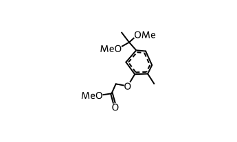 COC(=O)COc1cc(C(C)(OC)OC)ccc1C